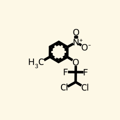 Cc1ccc([N+](=O)[O-])c(OC(F)(F)C(Cl)Cl)c1